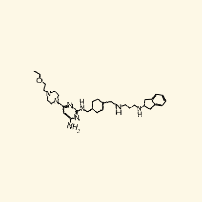 CCOCCN1CCN(c2cc(N)nc(NCC3CCC(CNCCCNC4Cc5ccccc5C4)CC3)n2)CC1